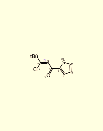 CC(C)(C)/C(Cl)=C/C(=O)c1cccs1